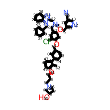 Cc1c(COc2cc(OCc3cncc(C#N)c3)c(CN(C)Cc3nc4ccccc4n3Cc3ccccc3)cc2Cl)cccc1-c1cccc(OCCCN2CCC(O)C2)c1C